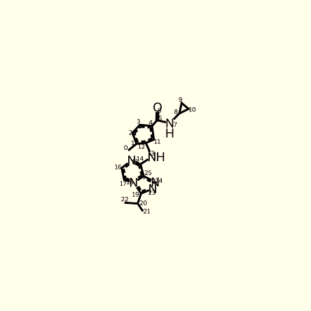 Cc1ccc(C(=O)NC2CC2)cc1Nc1nccn2c(C(C)C)nnc12